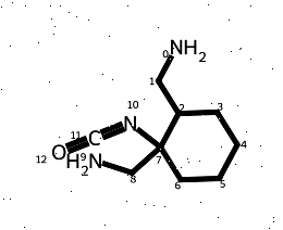 NCC1CCCCC1(CN)N=C=O